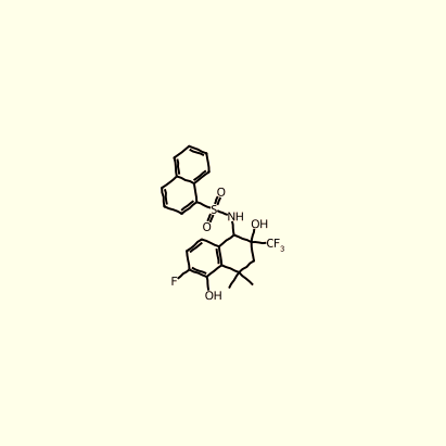 CC1(C)CC(O)(C(F)(F)F)C(NS(=O)(=O)c2cccc3ccccc23)c2ccc(F)c(O)c21